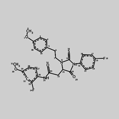 COc1ccc(CCN2C(=S)N(c3ccc(F)cc3)C(=O)C2CC(=O)Nc2ncc(OC)cc2F)cc1